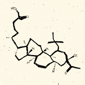 CC(=O)[C@@]1(O)CC(C(C)(C)C)[C@@]2(C)[C@H](CC[C@H]3[C@@H]4CC[C@H]([C@H](C)CCC(=O)O)[C@@]4(C)CC[C@@H]32)C1